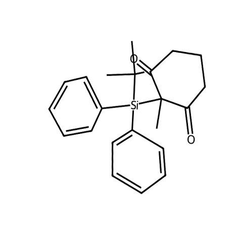 CC(C)(C)[Si](c1ccccc1)(c1ccccc1)C1(C)C(=O)CCCC1=O